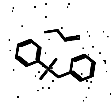 CCC=O.C[N+](C)(Cc1ccccc1)c1ccccc1